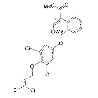 CO/C=C(/C(=O)OC)c1ccccc1COc1cc(Cl)c(OCC=C(Cl)Cl)c(Cl)c1